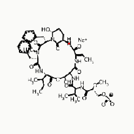 C/C=C1\NC(=O)[C@@H](NC(=O)[C@@H](NC(=O)[C@@H](COS(=O)(=O)[O-])OC)C(C)C)[C@@H](C)OC(=O)[C@H]([C@H](C)CC)NC(=O)[C@H](Cc2ccccc2)N(C)C(=O)[C@H](Cc2ccccc2)N2C(=O)[C@H](CC[C@H]2O)NC1=O.[Na+]